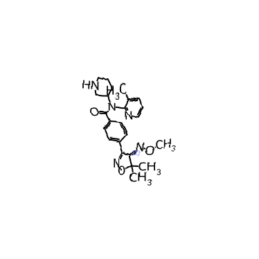 CO/N=C1/C(c2ccc(C(=O)N(c3ncccc3C)C3CCCNC3)cc2)=NOC1(C)C